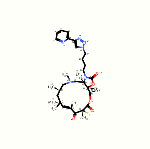 CC[C@H]1OC(=O)[C@](C)(F)C(=O)/C(C)=C/[C@](C)(OC)C[C@@H](C)CN(C)[C@H](C)[C@H]2N(CCCCn3cc(-c4ccccn4)nn3)C(=O)O[C@]12C